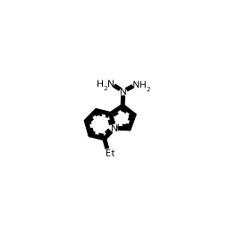 CCc1cccc2c(N(N)N)ccn12